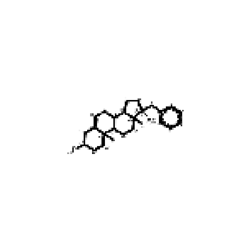 CC(=O)[C@@]1(Cc2ccccc2)CCC2C3CC=C4CC(F)CCC4(C)C3CCC21C